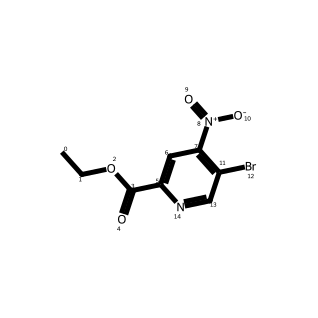 CCOC(=O)c1cc([N+](=O)[O-])c(Br)cn1